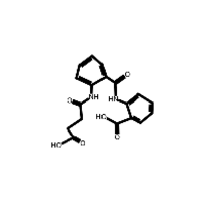 O=C(O)CCC(=O)Nc1ccccc1C(=O)Nc1ccccc1C(=O)O